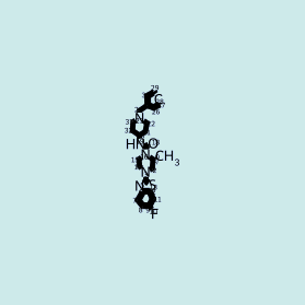 C[C@@H]1CN(c2nc3ccc(F)cc3s2)CCN1C(=O)NC1CCN(Cc2ccccc2)CC1